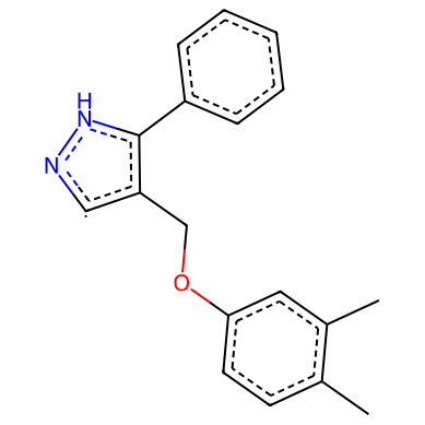 Cc1ccc(OCc2[c]n[nH]c2-c2ccccc2)cc1C